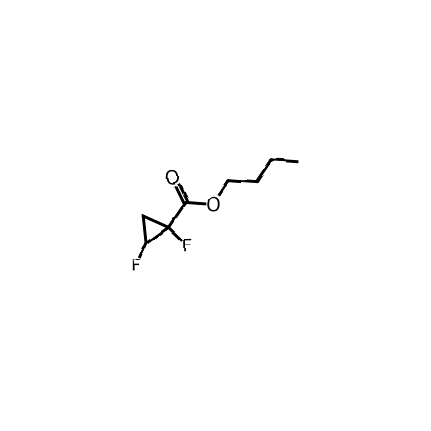 CCCCOC(=O)C1(F)CC1F